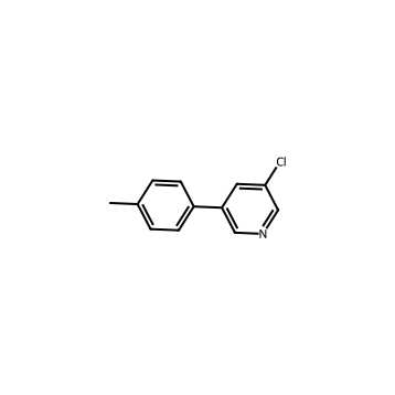 Cc1ccc(-c2cncc(Cl)c2)cc1